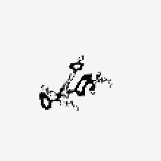 CC(c1ccccc1)C1(O)CN(c2ccc(Cl)cc2)C(c2ccc(S(N)(=O)=O)cc2)=N1